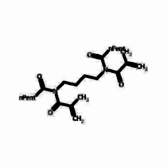 C=C(C)C(=O)N(CCCCN(C(=O)CCCCC)C(=O)C(=C)C)C(=O)CCCCC